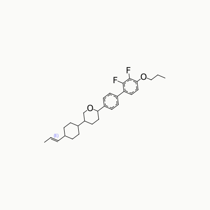 C/C=C/C1CCC(C2CCC(c3ccc(-c4ccc(OCCC)c(F)c4F)cc3)OC2)CC1